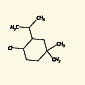 CC(C)[C]1CC(C)(C)CCC1Cl